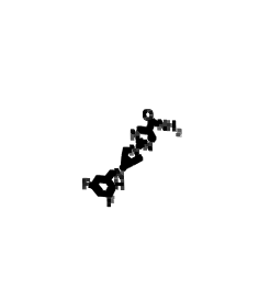 NC(=O)c1cnc(N2CC3C(C2)C3NCc2cc(F)cc(F)c2)nc1